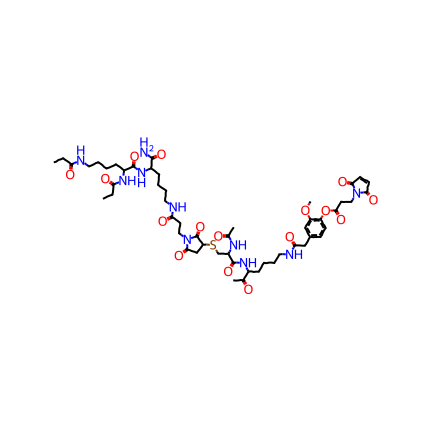 CCC(=O)NCCCCC(NC(=O)CC)C(=O)NC(CCCCNC(=O)CCN1C(=O)CC(SCC(NC(C)=O)C(=O)NC(CCCCNC(=O)Cc2ccc(OC(=O)CCN3C(=O)C=CC3=O)c(OC)c2)C(C)=O)C1=O)C(N)=O